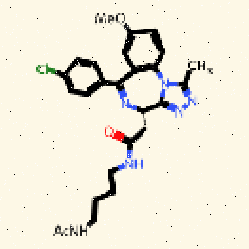 COc1ccc2c(c1)C(c1ccc(Cl)cc1)=N[C@@H](CC(=O)NCCCCNC(C)=O)c1nnc(C)n1-2